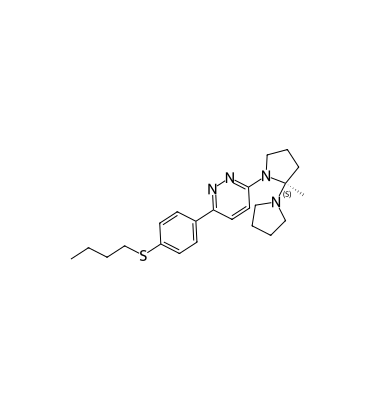 CCCCSc1ccc(-c2ccc(N3CCC[C@@]3(C)N3CCCC3)nn2)cc1